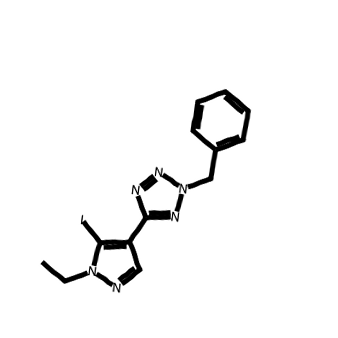 CCn1ncc(-c2nnn(Cc3ccccc3)n2)c1I